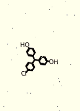 Oc1ccc(C(c2ccc(O)cc2)c2ccc(Cl)cc2)cc1